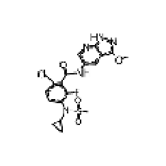 COc1n[nH]c2ncc(NC(=O)c3c(Cl)ccc(N(C4CC4)S(C)(=O)=O)c3F)cc12